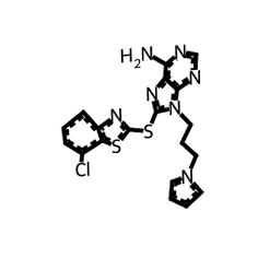 Nc1ncnc2c1nc(Sc1nc3cccc(Cl)c3s1)n2CCCn1cccc1